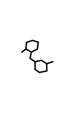 CC1CCCC(CC2CCCCC2C)C1